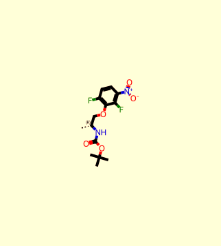 C[C@H](COc1c(F)ccc([N+](=O)[O-])c1F)NC(=O)OC(C)(C)C